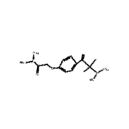 CCCCN(CCCC)C(=O)CSc1ccc(C(=O)C(C)(C)N(CCCC)CCCC)cc1